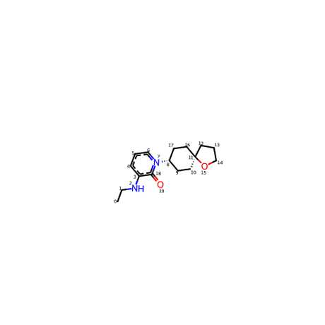 CCNc1cccn([C@H]2CC[C@@]3(CCCO3)CC2)c1=O